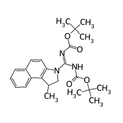 CC1CN(C(=NC(=O)OC(C)(C)C)NC(=O)OC(C)(C)C)c2ccc3ccccc3c21